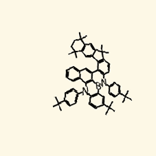 CC(C)(C)c1ccc(N2B3c4cc(C(C)(C)C)ccc4N(c4ccc(C(C)(C)C)cc4)c4c3c(cc3ccccc43)-c3c2ccc2c3-c3cc4c(cc3C2(C)C)C(C)(C)CCC4(C)C)cc1